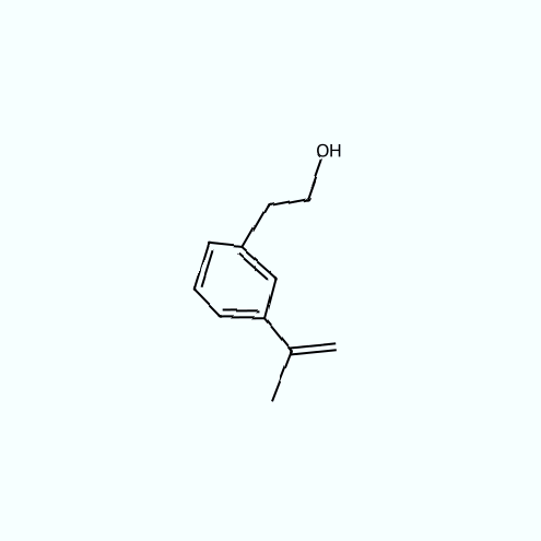 C=C(C)c1cccc(CCO)c1